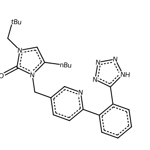 CCCCc1cn(CC(C)(C)C)c(=O)n1Cc1ccc(-c2ccccc2-c2nnn[nH]2)nc1